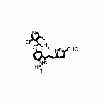 CC(Oc1ccc2c(c1)c(/C=C/c1ccc(C=O)nn1)nn2PI)c1c(Cl)cncc1Cl